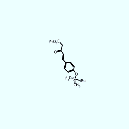 CCOC(=O)CC(=O)/C=C/c1ccc(O[Si](C)(C)C(C)(C)C)cc1